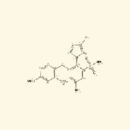 COc1ccc(Cc2cc([N+](=O)[O-])cc(S(N)(=O)=O)c2-n2ccc(F)n2)c(OC)c1